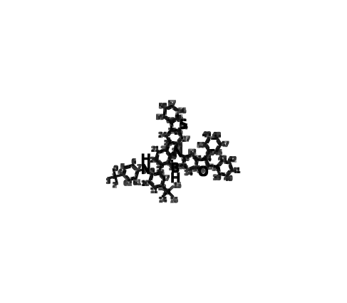 CC(C)(C)c1ccc(Nc2ccc(C(C)(C)C)cc2-c2ccc3c4cc5c(cc4n4c3c2Bc2cc3oc(-c6ccccc6)c(-c6ccccc6)c3cc2-4)sc2ccccc25)cc1